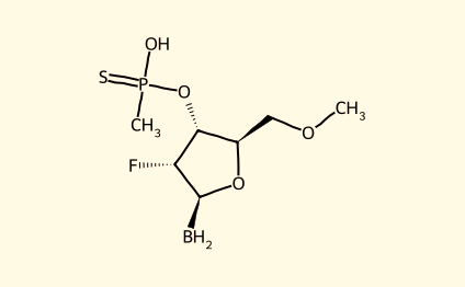 B[C@@H]1O[C@H](COC)[C@@H](OP(C)(O)=S)[C@H]1F